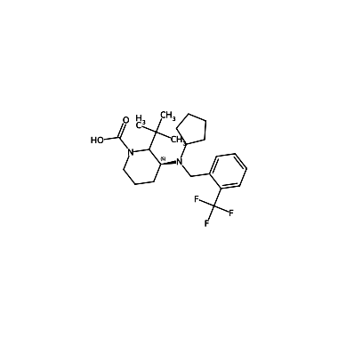 CC(C)(C)C1[C@@H](N(Cc2ccccc2C(F)(F)F)C2CCCC2)CCCN1C(=O)O